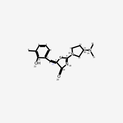 Cc1cccc(/C=C2\SC(N3CC[C@@H](N(C)C)C3)=NC2=O)c1O